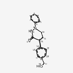 O=C1NN(c2ccccc2)CCC1c1ccc(CO)cc1